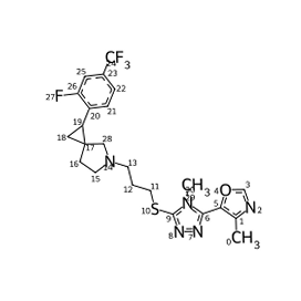 Cc1ncoc1-c1nnc(SCCCN2CCC3(CC3c3ccc(C(F)(F)F)cc3F)C2)n1C